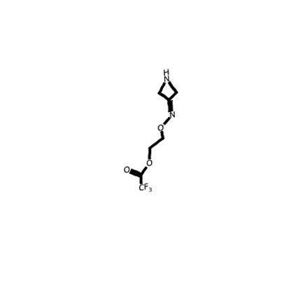 O=C(OCCON=C1CNC1)C(F)(F)F